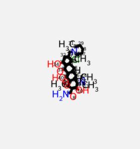 CO[C@@]12C(=O)C(C(N)=O)=C(O)[C@@H](N(C)C)[C@@H]1C[C@@H]1Cc3c(Cl)c(CN4[C@@H](C)CCC[C@@H]4C)cc(O)c3C(=O)C1=C2O